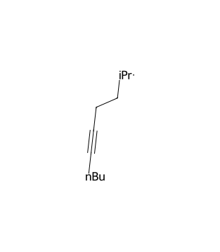 [CH2]CCCC#CCC[C](C)C